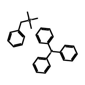 C[N+](C)(C)Cc1ccccc1.c1ccc(P(c2ccccc2)c2ccccc2)cc1